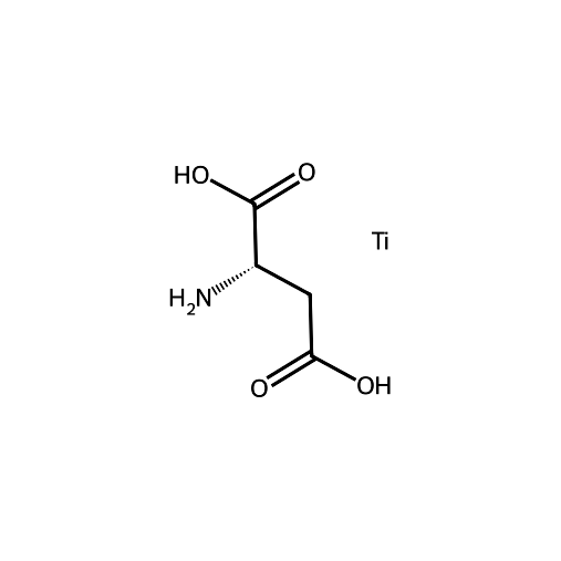 N[C@@H](CC(=O)O)C(=O)O.[Ti]